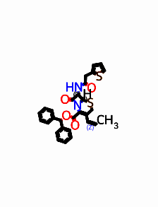 C/C=C\C1=C(C(=O)OC(c2ccccc2)c2ccccc2)N2C(=O)[C@@H](NC(=O)Cc3cccs3)[C@H]2SC1